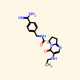 CCNc1cnc2n(c1=O)[C@H](C(=O)NCc1ccc(C(=N)N)cc1)CC2